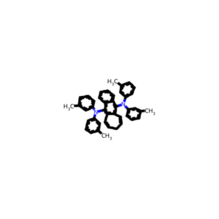 Cc1cccc(N(c2cccc(C)c2)c2c3c(c(N(c4cccc(C)c4)c4cccc(C)c4)c4ccccc24)C=CCC=C3)c1